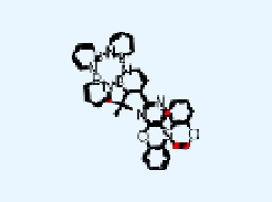 CC(C)(C)C1=C(c2ncc3c(n2)Oc2ccccc2[Si]32c3ccccc3Oc3ccccc32)C=CN2B3C=CC=CN3B3C=CC=CN3B3C=CC=CN3B12